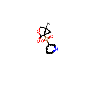 O=C1OC[C@@H]2C[C@]12S(=O)(=O)c1cccnc1